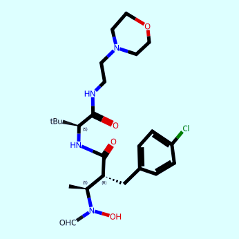 C[C@@H]([C@@H](Cc1ccc(Cl)cc1)C(=O)N[C@H](C(=O)NCCN1CCOCC1)C(C)(C)C)N(O)C=O